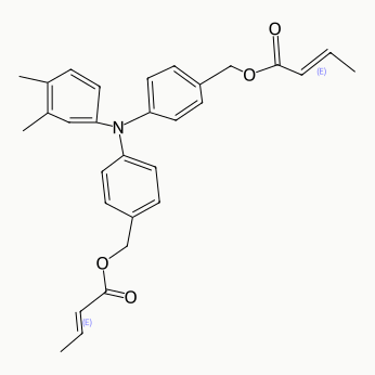 C/C=C/C(=O)OCc1ccc(N(c2ccc(COC(=O)/C=C/C)cc2)c2ccc(C)c(C)c2)cc1